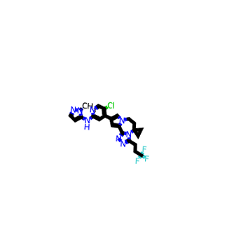 Cn1nccc1Nc1cc(-c2cc3n(c2)CCC2(CC2)n2c(CCC(F)(F)F)nnc2-3)c(Cl)cn1